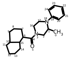 CC1CN(C(=O)C2CCCC3CCCCC32)CCN1c1ccccc1